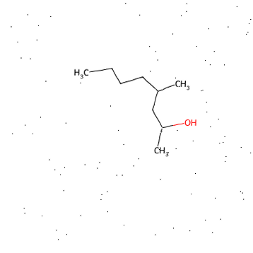 CCCCC(C)CC(C)O